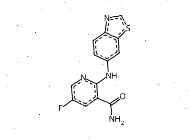 NC(=O)c1cc(F)cnc1Nc1ccc2ncsc2c1